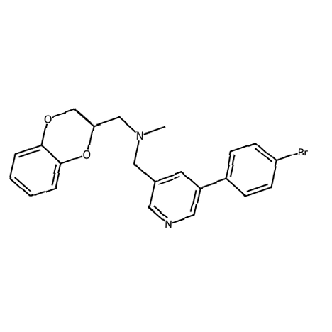 CN(Cc1cncc(-c2ccc(Br)cc2)c1)CC1COc2ccccc2O1